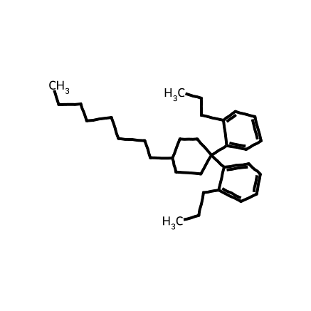 CCCCCCCCC1CCC(c2ccccc2CCC)(c2ccccc2CCC)CC1